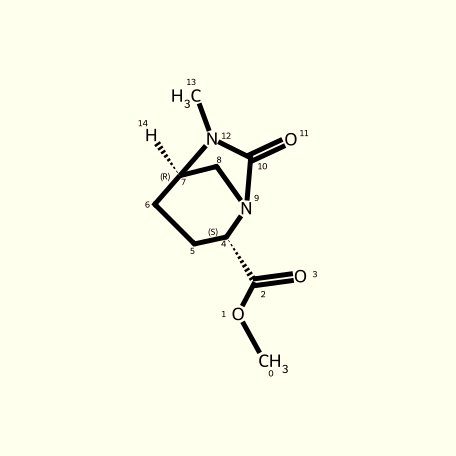 COC(=O)[C@@H]1CC[C@@H]2CN1C(=O)N2C